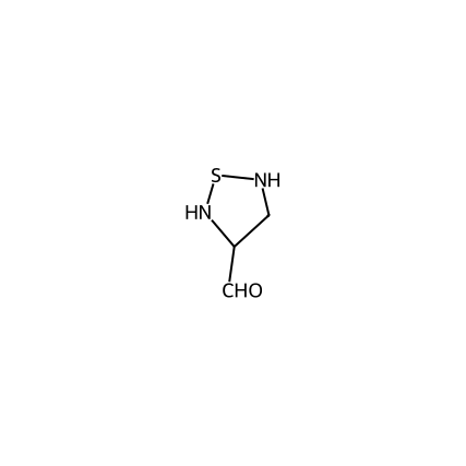 O=CC1CNSN1